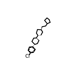 Clc1ccc([C@H]2CC[C@H]([C@H]3CC[C@H](CCC4CCCC4)CC3)CC2)cc1